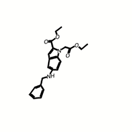 CCOC(=O)Cn1c(C(=O)OCC)cc2cc(NCc3ccccc3)ccc21